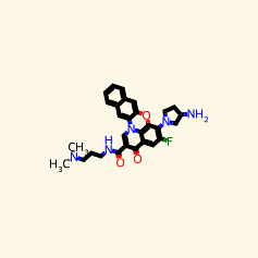 CN(C)CCCNC(=O)c1cn2c3c(c(N4CCC(N)C4)c(F)cc3c1=O)Oc1cc3ccccc3cc1-2